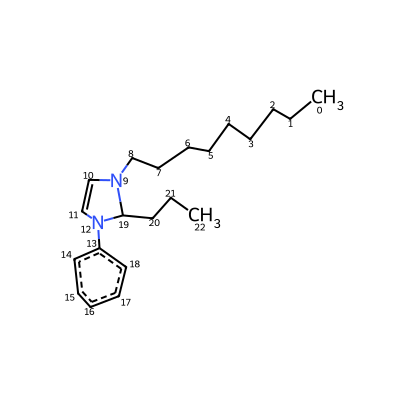 CCCCCCCCCN1C=CN(c2ccccc2)C1CCC